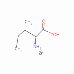 CC[C@H](C)[C@H](N)C(=O)O.[Zn]